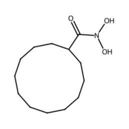 O=C(C1CCCCCCCCCCC1)N(O)O